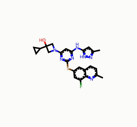 Cc1cc(Nc2cc(N3CC(O)(C4CC4)C3)nc(Sc3cc(F)c4nc(C)ccc4c3)n2)[nH]n1